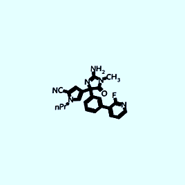 CCCn1cc(C2(c3cccc(-c4cccnc4F)c3)N=C(N)N(C)C2=O)cc1C#N